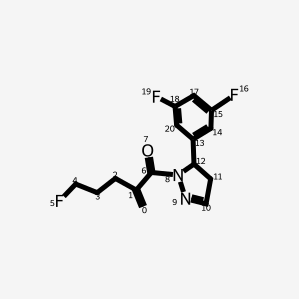 C=C(CCCF)C(=O)N1N=CCC1c1cc(F)cc(F)c1